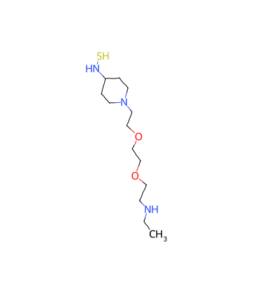 CCNCCOCCOCCN1CCC(NS)CC1